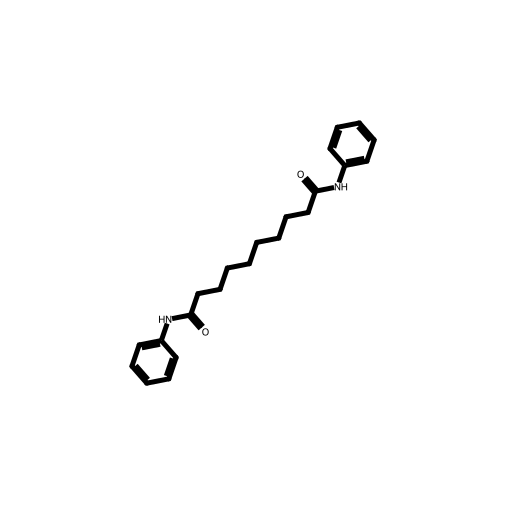 O=C(CCCCCCCCC(=O)Nc1ccccc1)Nc1ccccc1